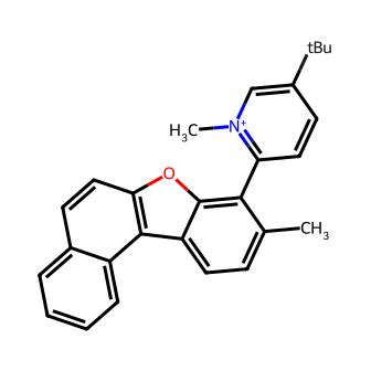 Cc1ccc2c(oc3ccc4ccccc4c32)c1-c1ccc(C(C)(C)C)c[n+]1C